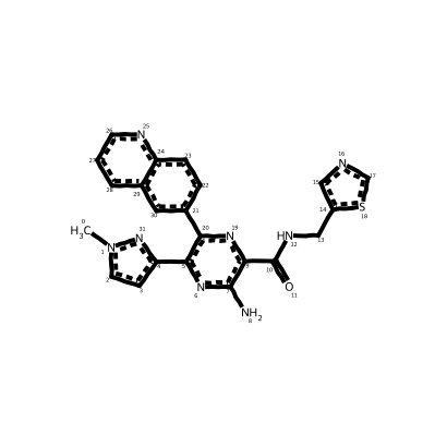 Cn1ccc(-c2nc(N)c(C(=O)NCc3cncs3)nc2-c2ccc3ncccc3c2)n1